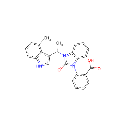 Cc1cccc2[nH]cc(C(C)n3c(=O)n(-c4ccccc4C(=O)O)c4ccccc43)c12